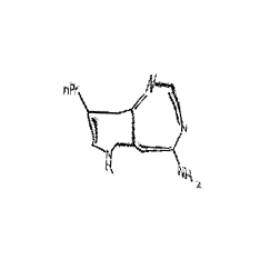 CCCc1c[nH]c2c(N)ncnc12